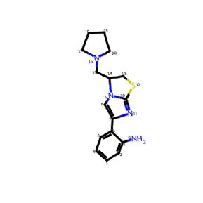 Nc1ccccc1-c1cn2c(n1)SCC2CN1CCCC1